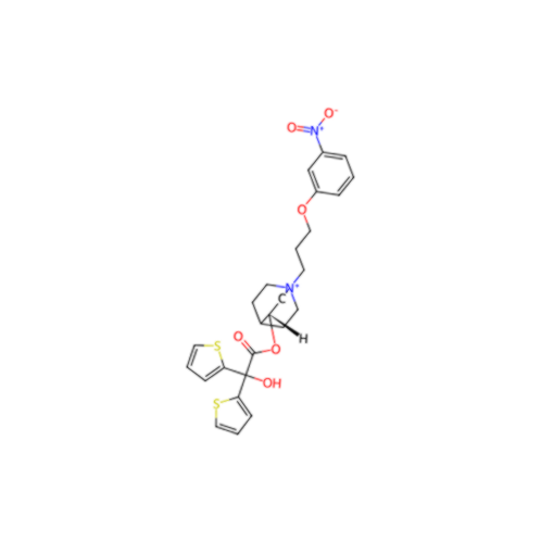 O=C(O[C@H]1C[N+]2(CCCOc3cccc([N+](=O)[O-])c3)CCC1CC2)C(O)(c1cccs1)c1cccs1